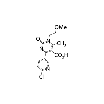 COCCn1c(C)c(C(=O)O)c(-c2ccc(Cl)nc2)nc1=O